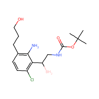 BC(CNC(=O)OC(C)(C)C)c1c(Cl)ccc(CCCO)c1N